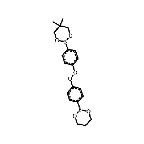 CC1(C)COB(c2ccc(OOc3ccc(B4OCCCO4)cc3)cc2)OC1